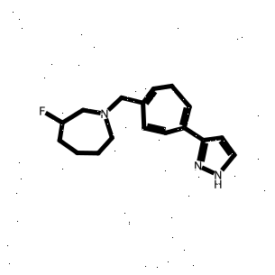 FC1CCCCN(CC2=CCC=C(c3cc[nH]n3)C=C2)C1